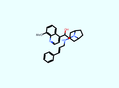 COc1cccc2c(C(O)CN3C4CCC3CC(NCC=Cc3ccccc3)C4)ccnc12